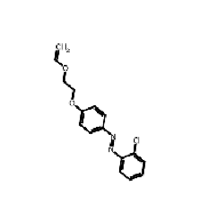 C=COCCOc1ccc(/N=N/c2ccccc2Cl)cc1